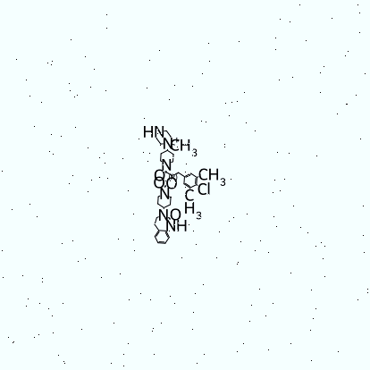 Cc1cc(C[C@@H](OC(=O)N2CCC(N3CCc4ccccc4NC3=O)CC2)C(=O)N2CCC([N+]3(C)CCNCC3)CC2)cc(C)c1Cl